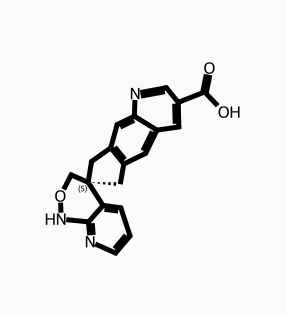 O=C(O)c1cnc2cc3c(cc2c1)C[C@]1(CONc2ncccc21)C3